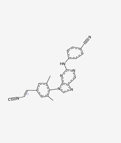 [C-]#[N+]/C=C/c1cc(C)c(-n2cnc3cnc(Nc4ccc(C#N)cc4)nc32)c(C)c1